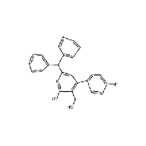 CC(C)c1nc(C(c2ccccc2)c2ccccc2)cc(-c2ccc(F)cc2)c1CO